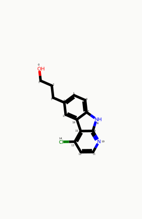 OC[CH]Cc1ccc2[nH]c3nccc(Cl)c3c2c1